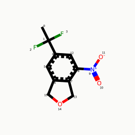 CC(F)(F)c1cc2c(c([N+](=O)[O-])c1)COC2